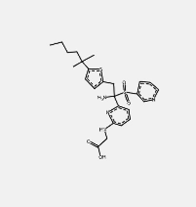 CCCCC(C)(C)c1ccc(CC(N)(c2cccc(NCC(=O)O)n2)S(=O)(=O)c2cccnc2)s1